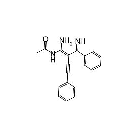 CC(=O)N/C(N)=C(\C#Cc1ccccc1)C(=N)c1ccccc1